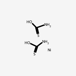 NC(O)=S.NC(O)=S.[Ni]